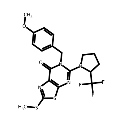 COc1ccc(Cn2c(N3CCCC3C(F)(F)F)nc3sc(SC)nc3c2=O)cc1